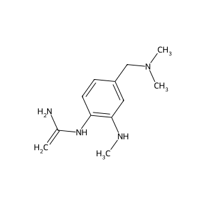 C=C(N)Nc1ccc(CN(C)C)cc1NC